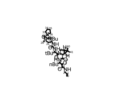 C=CCNC(=O)C(=O)C(CCCC)NC(=O)[C@@H]1[C@@H]2[C@H](CN1C(=O)[C@@H](NC(=O)N[C@H](CN(C)S(=O)(=O)N1CCCC1)C(C)(C)C)C(C)(C)C)C2(C)C